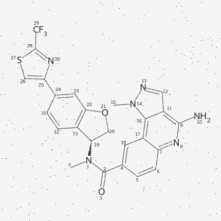 CN(C(=O)c1ccc2nc(N)c3cnn(C)c3c2c1)[C@@H]1COc2cc(-c3csc(C(F)(F)F)n3)ccc21